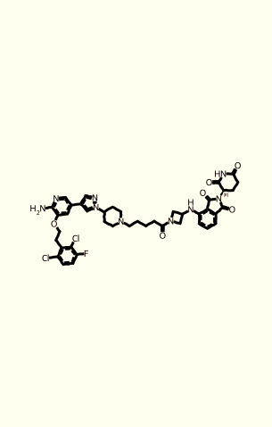 Nc1ncc(-c2cnn(C3CCN(CCCCC(=O)N4CC(Nc5cccc6c5C(=O)N([C@@H]5CCC(=O)NC5=O)C6=O)C4)CC3)c2)cc1OCCc1c(Cl)ccc(F)c1Cl